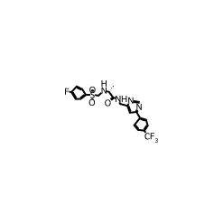 C[C@@H](NCS(=O)(=O)c1ccc(F)cc1)C(=O)NCc1cc(-c2ccc(C(F)(F)F)cc2)ncn1